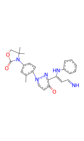 Cc1cc(N2C(=O)OCC2(C)C)ccc1-n1ccc(=O)c(/C(=C/C=N)Nc2ccccc2)n1